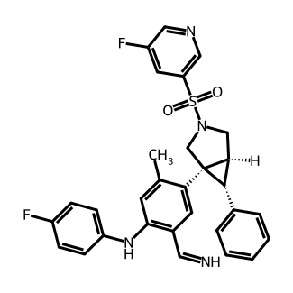 Cc1cc(Nc2ccc(F)cc2)c(C=N)cc1[C@]12CN(S(=O)(=O)c3cncc(F)c3)C[C@H]1[C@@H]2c1ccccc1